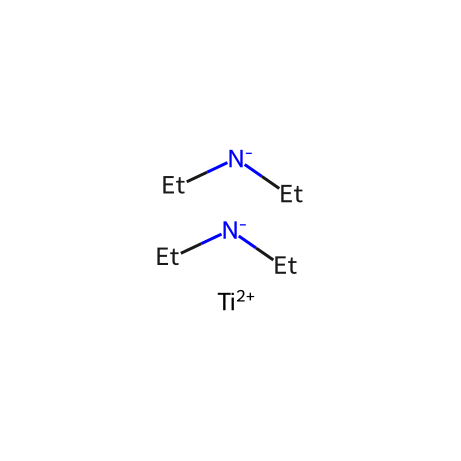 CC[N-]CC.CC[N-]CC.[Ti+2]